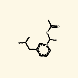 CC(=O)OC(C)[n+]1cccc(CC(C)C)c1